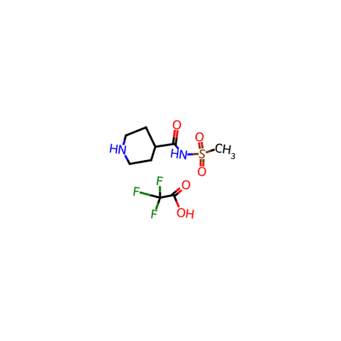 CS(=O)(=O)NC(=O)C1CCNCC1.O=C(O)C(F)(F)F